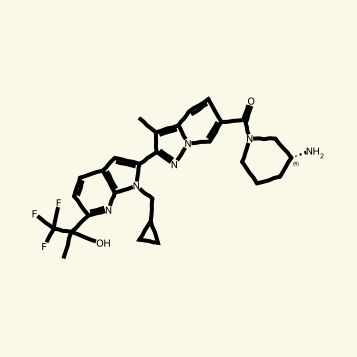 Cc1c(-c2cc3ccc(C(C)(O)C(F)(F)F)nc3n2CC2CC2)nn2cc(C(=O)N3CCC[C@@H](N)C3)ccc12